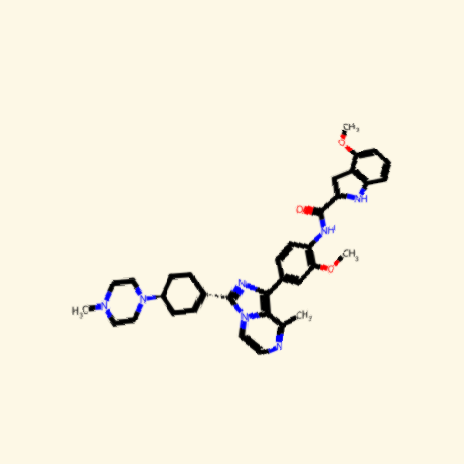 COc1cc(-c2nc([C@H]3CC[C@H](N4CCN(C)CC4)CC3)n3ccnc(C)c23)ccc1NC(=O)C1Cc2c(cccc2OC)N1